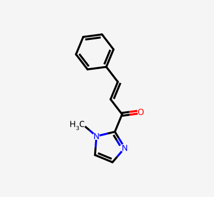 Cn1ccnc1C(=O)/C=C/c1ccccc1